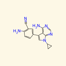 N#Cc1cc(-c2cn(C3CC3)c3ncnc(N)c23)ccc1N